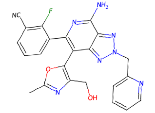 Cc1nc(CO)c(-c2c(-c3cccc(C#N)c3F)nc(N)c3nn(Cc4ccccn4)nc23)o1